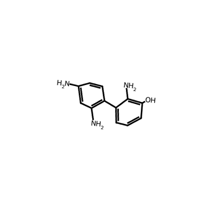 Nc1ccc(-c2cccc(O)c2N)c(N)c1